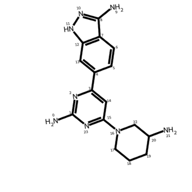 Nc1nc(-c2ccc3c(N)n[nH]c3c2)cc(N2CCCC(N)C2)n1